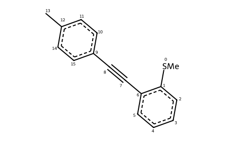 CSc1ccccc1C#Cc1ccc(C)cc1